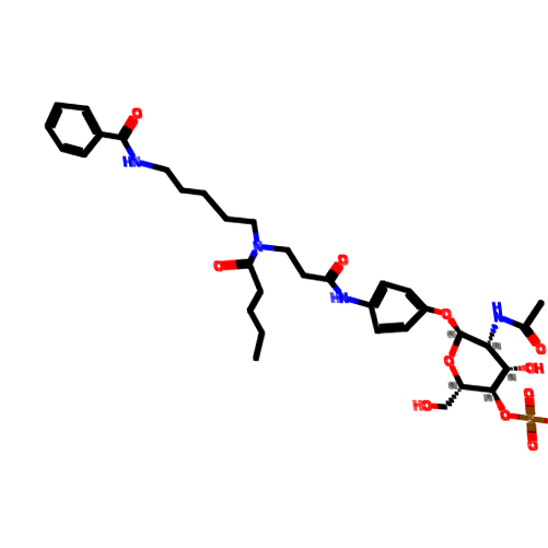 CCCCC(=O)N(CCCCCNC(=O)c1ccccc1)CCC(=O)Nc1ccc(O[C@@H]2O[C@@H](CO)[C@H](OS(=O)(=O)O)[C@@H](O)[C@H]2NC(C)=O)cc1